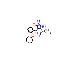 CC(C)c1[nH][nH]c(=O)c1Cc1ccccc1OC1CCCCCC1